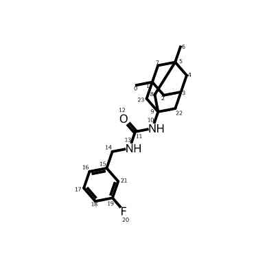 CC12CC3CC(C)(C1)CC(NC(=O)NCc1cccc(F)c1)(C3)C2